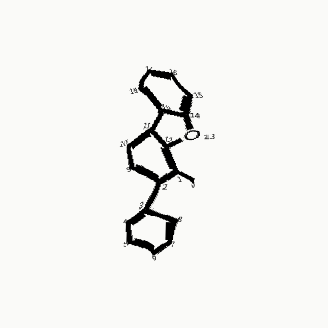 Cc1c(-c2ccccc2)ccc2c1oc1ccccc12